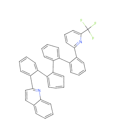 FC(F)(F)c1cccc(-c2ccccc2-c2ccccc2-c2ccccc2-c2ccccc2-c2ccc3ccccc3n2)n1